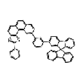 c1ccc(-c2nc3ccc4ccc5ccc(-c6cccc(-c7ccc8c(c7)C7(c9ccccc9-c9ccccc97)c7ccccc7-8)c6)cc5c4c3s2)cc1